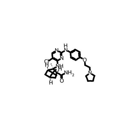 CC1(C)[C@H]2C[C@H](C(N)=O)[C@](C)(Nc3nc(Nc4ccc(OCCN5CCCC5)cc4)ncc3Cl)[C@@H]1C2